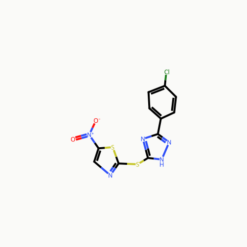 O=[N+]([O-])c1cnc(Sc2nc(-c3ccc(Cl)cc3)n[nH]2)s1